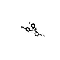 N#Cc1ccc(Cn2c(N3CCC[C@H](N)C3)nc3ccc(F)cc32)nc1